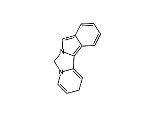 C1=CN2Cn3cc4ccccc4c3C2=CC1